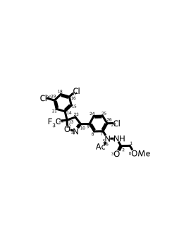 COCC(=O)NN(C(C)=O)c1cc(C2=NOC(c3cc(Cl)cc(Cl)c3)(C(F)(F)F)C2)ccc1Cl